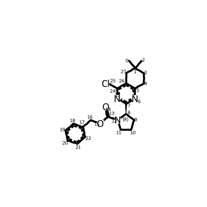 CC1(C)CCc2nc([C@H]3CCCN3C(=O)OCc3ccccc3)nc(Cl)c2C1